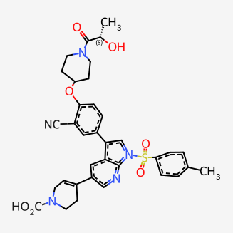 Cc1ccc(S(=O)(=O)n2cc(-c3ccc(OC4CCN(C(=O)[C@H](C)O)CC4)c(C#N)c3)c3cc(C4=CCN(C(=O)O)CC4)cnc32)cc1